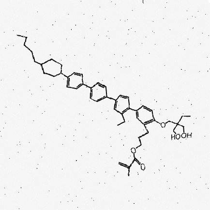 C=C(C)C(=O)OCCCc1cc(-c2ccc(-c3ccc(-c4ccc(C5CCC(CCCCC)CC5)cc4)cc3)cc2CC)ccc1OCC(CC)(CO)CO